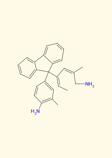 C/C=C(\C=C(\C)CN)C1(c2ccc(N)c(C)c2)c2ccccc2-c2ccccc21